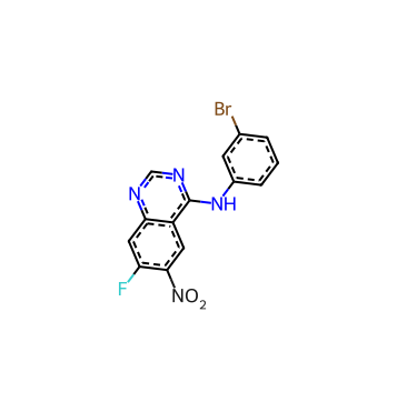 O=[N+]([O-])c1cc2c(Nc3cccc(Br)c3)ncnc2cc1F